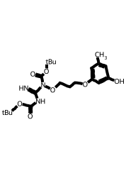 Cc1cc(O)cc(OCCCON(C(=N)NC(=O)OC(C)(C)C)C(=O)OC(C)(C)C)c1